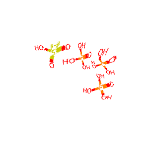 O=P(O)(O)O.O=P(O)(O)O.O=P(O)(O)O.O=[SH](=O)O